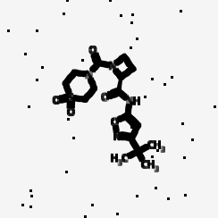 CC(C)(C)c1cc(NC(=O)[C@@H]2CCN2C(=O)N2CCS(=O)(=O)CC2)on1